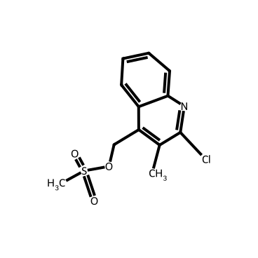 Cc1c(Cl)nc2ccccc2c1COS(C)(=O)=O